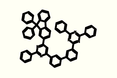 c1ccc(-c2nc(-c3cccc(-c4cccc(-c5nc(-c6ccccc6)nc(-c6ccccc6)n5)c4)c3)cc(-c3ccc4c(c3)C(c3ccccc3)(c3ccccc3)c3ccccc3-4)n2)cc1